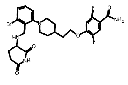 NC(=O)c1cc(F)c(OCCC2CCN(c3cccc(Br)c3CNC3CCC(=O)NC3=O)CC2)cc1F